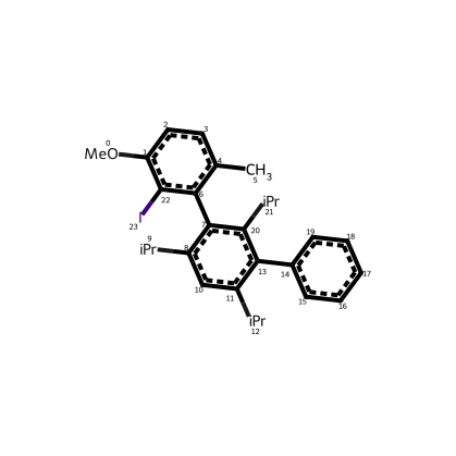 COc1ccc(C)c(-c2c(C(C)C)cc(C(C)C)c(-c3ccccc3)c2C(C)C)c1I